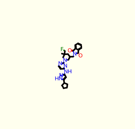 CC1(CF)CC(CN2C(=O)c3ccccc3C2=O)CN(c2nccc(Nc3cc(C4CCCC4)[nH]n3)n2)C1